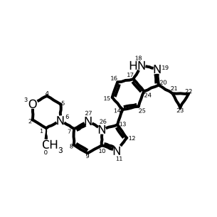 C[C@H]1COCCN1c1ccc2ncc(-c3ccc4[nH]nc(C5CC5)c4c3)n2n1